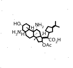 CC(=O)O[C@H]1C[C@@]2(C)[C@@H](C[C@@H](N)[C@H]3[C@@]4(C)CC[C@@H](O)[C@@H](N)[C@@H]4CC[C@@]32C)/C1=C(/C(=O)O)C1CCC(=C(C)C)C1